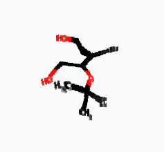 CCC(C)C(CO)C(CO)OC(C)(C)CC